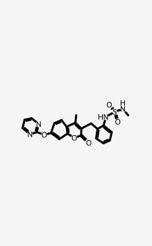 CNS(=O)(=O)Nc1ccccc1Cc1c(C)c2ccc(Oc3ncccn3)cc2oc1=O